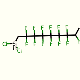 CC(F)C(F)(F)C(F)(F)C(F)(F)C(F)(F)C(F)(F)C(F)(F)C[SiH](Cl)Cl